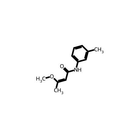 COC(C)=CC(=O)Nc1cccc(C)c1